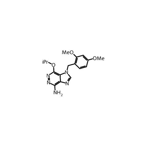 COc1ccc(Cn2cnc3c(N)nnc(OC(C)C)c32)c(OC)c1